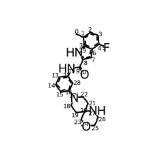 Cc1ccc(F)c2cc(C(=O)Nc3cccc(N4CCC5(CC4)COCCN5)c3)[nH]c12